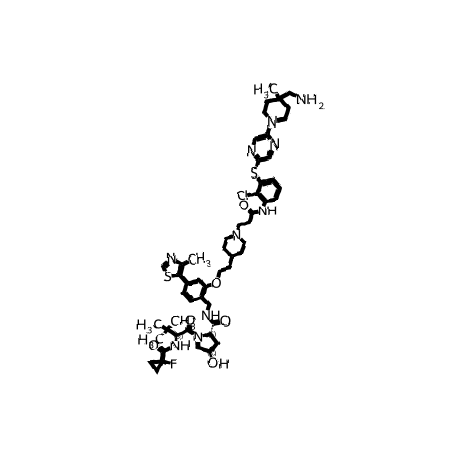 Cc1ncsc1-c1ccc(CNC(=O)[C@@H]2C[C@@H](O)CN2C(=O)[C@@H](NC(=O)C2(F)CC2)C(C)(C)C)c(OCCC2CCN(CCC(=O)Nc3cccc(Sc4cnc(N5CCC(C)(CN)CC5)cn4)c3Cl)CC2)c1